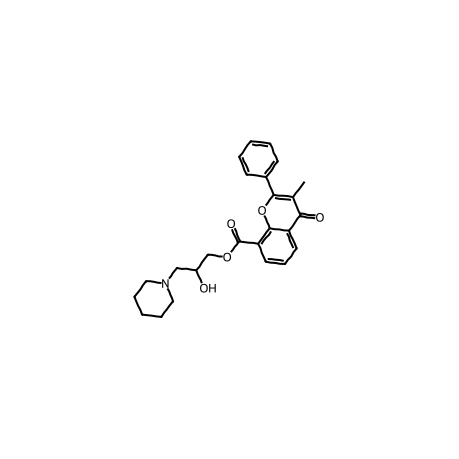 Cc1c(-c2ccccc2)oc2c(C(=O)OCC(O)CN3CCCCC3)cccc2c1=O